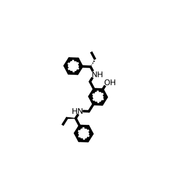 CC[C@H](NCc1cc(CN[C@H](CC)c2ccccc2)ccc1O)c1ccccc1